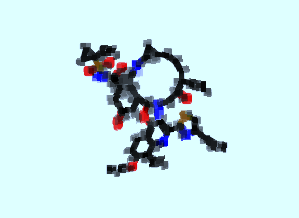 C#Cc1csc(-c2cc(O[C@@H]3NCC(=O)C(C)CCCC4=C(C4)/N=C\[C@H]4C3CC(=O)C[C@H]4C(=O)NS(=O)(=O)C3(C)CC3)c3ccc(OC)c(C)c3n2)n1